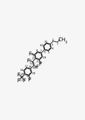 CCCc1ccc(-c2cc(F)c(/C(F)=C(\F)c3ccc(C(F)(F)F)c(F)c3)c(F)c2)cc1